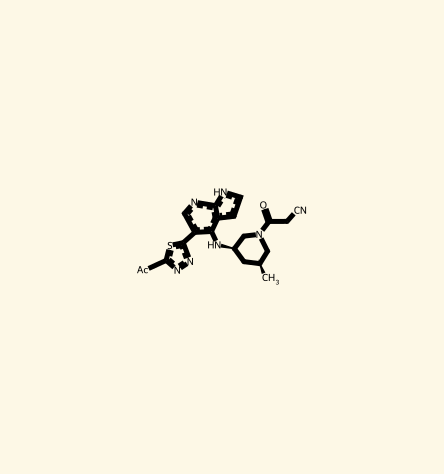 CC(=O)c1nnc(-c2cnc3[nH]ccc3c2N[C@@H]2C[C@H](C)CN(C(=O)CC#N)C2)s1